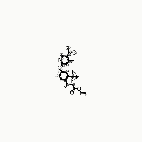 CCOC(=O)CN(C)c1ccc(Oc2cc(C)c([N+](=O)[O-])cn2)cc1C(F)(F)F